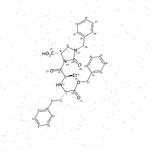 CC[C@@H](N[C@@H](CCc1ccccc1)C(=O)OCc1ccccc1)C(=O)N1C(=O)N(Cc2ccccc2)C[C@H]1C(=O)O